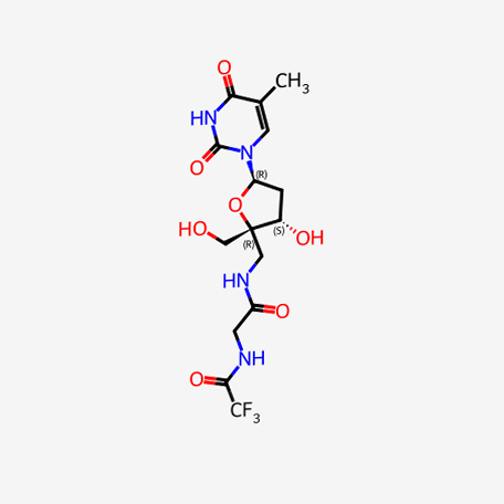 Cc1cn([C@H]2C[C@H](O)[C@](CO)(CNC(=O)CNC(=O)C(F)(F)F)O2)c(=O)[nH]c1=O